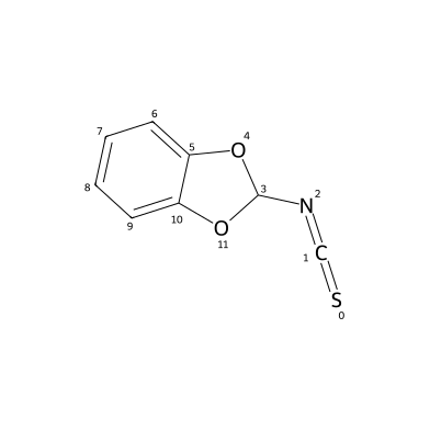 S=C=NC1Oc2ccccc2O1